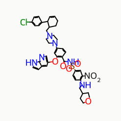 O=C(NS(=O)(=O)c1ccc(NCC2CCOCC2)c([N+](=O)[O-])c1)c1ccc(N2CCN(CC3CCC=CC3c3ccc(Cl)cc3)CC2)cc1Oc1cnc2[nH]ccc2c1